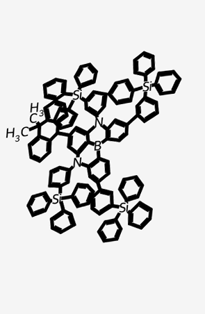 CC1(C)c2ccccc2C(c2cc3c4c(c2)N(c2cccc([Si](c5ccccc5)(c5ccccc5)c5ccccc5)c2)c2cc(-c5cccc([Si](c6ccccc6)(c6ccccc6)c6ccccc6)c5)ccc2B4c2ccc(-c4cccc([Si](c5ccccc5)(c5ccccc5)c5ccccc5)c4)cc2N3c2cccc([Si](c3ccccc3)(c3ccccc3)c3ccccc3)c2)c2ccccc21